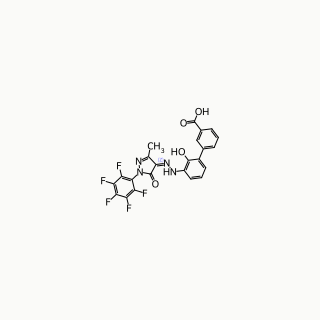 CC1=NN(c2c(F)c(F)c(F)c(F)c2F)C(=O)/C1=N\Nc1cccc(-c2cccc(C(=O)O)c2)c1O